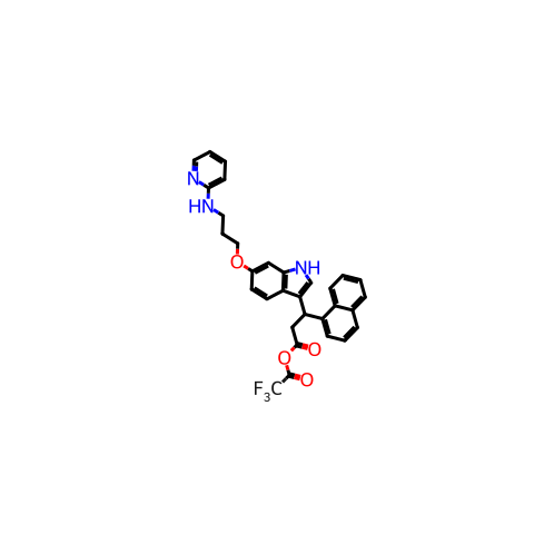 O=C(CC(c1cccc2ccccc12)c1c[nH]c2cc(OCCCNc3ccccn3)ccc12)OC(=O)C(F)(F)F